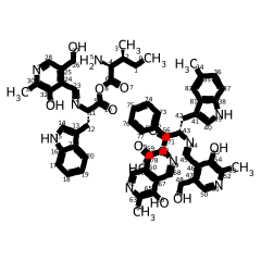 CC[C@H](C)[C@H](N)C(=O)OC(=O)[C@H](Cc1c[nH]c2ccccc12)N=Cc1c(CO)cnc(C)c1O.Cc1ccc2[nH]cc(C[C@H](N=Cc3c(CO)cnc(C)c3O)C(=O)OCc3cnc(C)c(O)c3C=N[C@@H](Cc3ccccc3)C(=O)O)c2c1